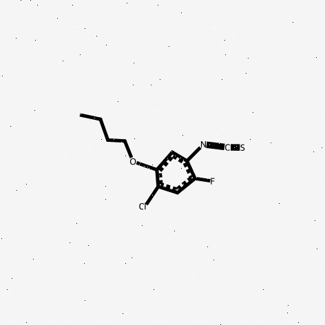 CCCCOc1cc(N=C=S)c(F)cc1Cl